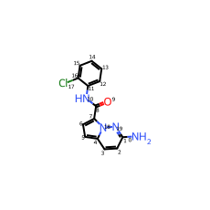 Nc1ccc2ccc(C(=O)Nc3ccccc3Cl)n2n1